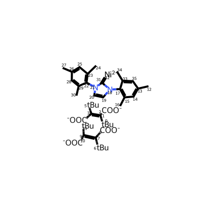 CC(C)(C)/C(C(=O)[O-])=C(\C(=O)[O-])C(C)(C)C.CC(C)(C)/C(C(=O)[O-])=C(\C(=O)[O-])C(C)(C)C.Cc1cc(C)c(-n2ccn(-c3c(C)cc(C)cc3C)[c]2=[Ni-2])c(C)c1